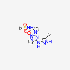 O=C(NS(=O)(=O)C1CC1)[C@@H]1CCCN1c1nc(Nc2cc(C3CC3)[nH]n2)c2cccn2n1